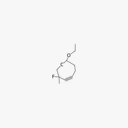 CCOC1CCC#CC(C)(F)CC1